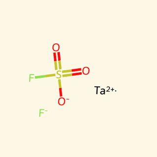 O=S(=O)([O-])F.[F-].[Ta+2]